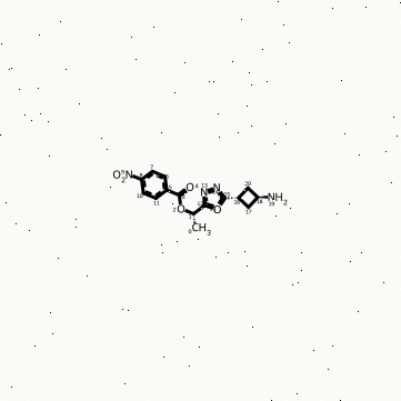 C[C@H](OC(=O)c1ccc([N+](=O)[O-])cc1)c1nnc([C@H]2C[C@H](N)C2)o1